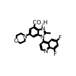 Cc1nc2c(C(=O)O)cc(N3CCOCC3)cc2n1-c1ccnc2c(F)cc(F)cc12